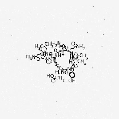 CC(=O)O.CC[C@H](C)[C@@H]1NC(=O)[C@H](Cc2ccc(O)cc2)NC(=O)[C@@H](N)CSSC[C@@H](C(=O)N2CCC[C@H]2C(=O)N[C@@H](CC(C)C)C(=O)NCC(N)=O)NC(=O)[C@H](CC(N)=O)NC(=O)[C@H](CCC(N)=O)NC1=O